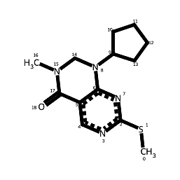 CSc1ncc2c(n1)N(C1CCCC1)CN(C)C2=O